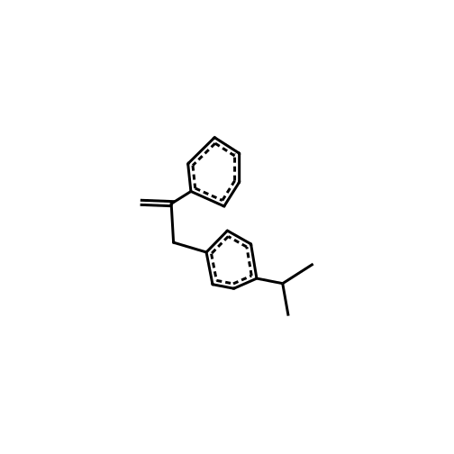 C=C(Cc1ccc(C(C)C)cc1)c1ccccc1